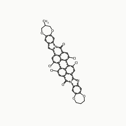 CC1COc2cc3cc4c5cc(Cl)c6c7c(Cl)cc8c(=O)n9c%10cc%11c(cc%10nc9c9cc(Cl)c(c%10c(Cl)cc(c(=O)n4c3cc2OC1)c5c6%10)c7c89)OCCCO%11